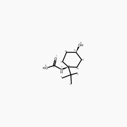 CC(C)(C)[C@]1(NC(=O)O)CC[C@@H](O)CC1